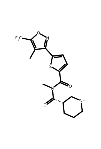 Cc1c(-c2ccc(C(=O)N(C)C(=O)[C@H]3CCCNC3)s2)noc1C(F)(F)F